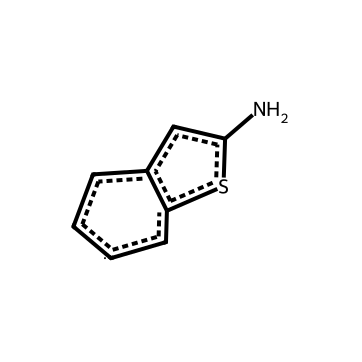 Nc1cc2cc[c]cc2s1